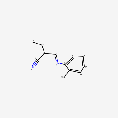 CCC(C#N)C=Nc1ccccc1C